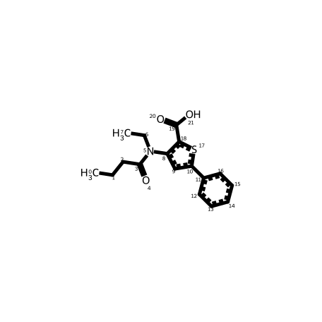 CCCC(=O)N(CC)c1cc(-c2ccccc2)sc1C(=O)O